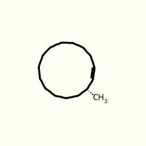 C[C@H]1C=CCCCCCCCCCCCC1